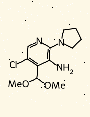 COC(OC)c1c(Cl)cnc(N2CCCC2)c1N